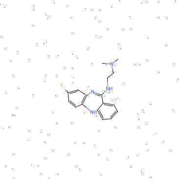 CN(C)CCNC1=Nc2cc(F)ccc2Nc2ccccc21